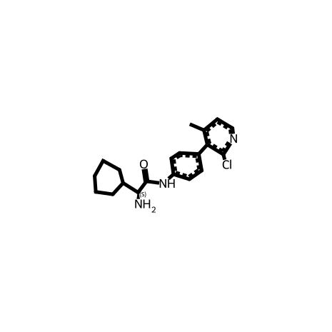 Cc1ccnc(Cl)c1-c1ccc(NC(=O)[C@@H](N)C2CCCCC2)cc1